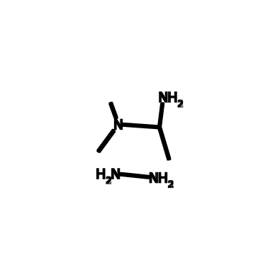 CC(N)N(C)C.NN